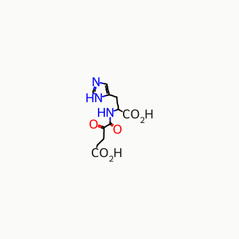 O=C(O)CCC(=O)C(=O)NC(Cc1cnc[nH]1)C(=O)O